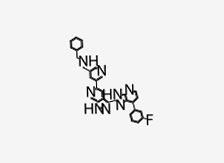 Fc1cccc(-c2ccnc3[nH]c(-c4n[nH]c5cnc(-c6cncc(CNCc7ccccc7)c6)cc45)nc23)c1